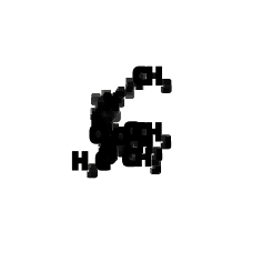 CCCCCCn1ccc2cnc(CC(=O)N(COC)[C@@H](CC(C)C)OCOC)cc21